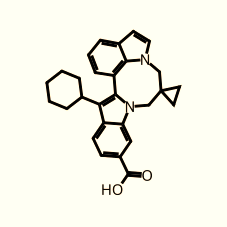 O=C(O)c1ccc2c(C3CCCCC3)c3n(c2c1)CC1(CC1)Cn1ccc2cccc-3c21